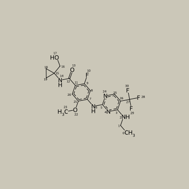 CCNc1nc(Nc2cc(F)c(C(=O)NC3(CO)CC3)cc2OC)ncc1C(F)(F)F